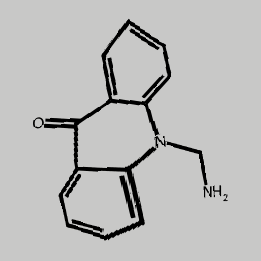 NCn1c2ccccc2c(=O)c2ccccc21